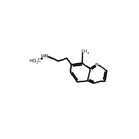 Cc1c(CCNC(=O)O)ccc2cccnc12